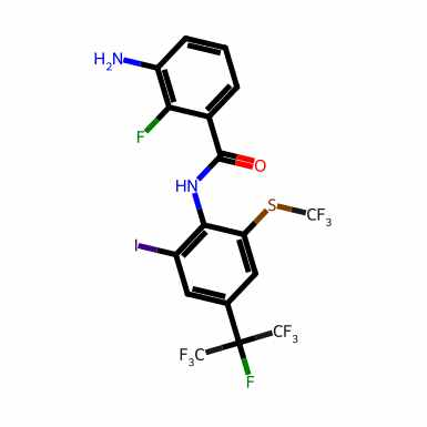 Nc1cccc(C(=O)Nc2c(I)cc(C(F)(C(F)(F)F)C(F)(F)F)cc2SC(F)(F)F)c1F